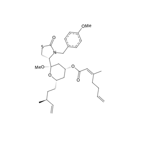 C=CCCC(C)=CC(=O)O[C@@H]1C[C@H](CC[C@H](C)C=C)O[C@@](OC)([C@@H]2CSC(=O)N2Cc2ccc(OC)cc2)C1